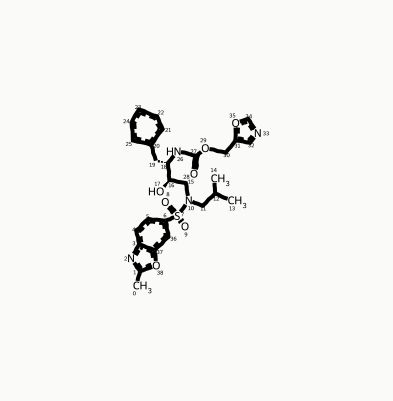 Cc1nc2ccc(S(=O)(=O)N(CC(C)C)C[C@@H](O)[C@H](Cc3ccccc3)NC(=O)OCc3cnco3)cc2o1